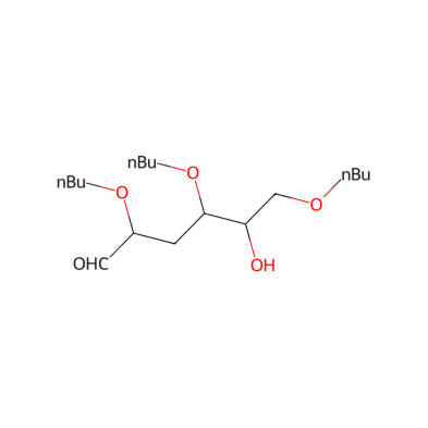 CCCCOCC(O)C(CC(C=O)OCCCC)OCCCC